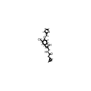 O=C(CC12CC(C1)C2)NCc1cc2cc(Cl)c(OCc3cscn3)cc2[nH]1